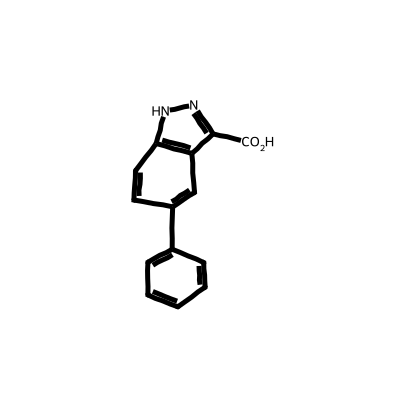 O=C(O)c1n[nH]c2ccc(-c3ccccc3)cc12